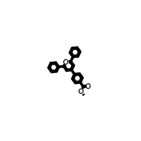 COC(=O)c1ccc(-c2cc(-c3ccccc3)[o+]c(-c3ccccc3)c2)cc1